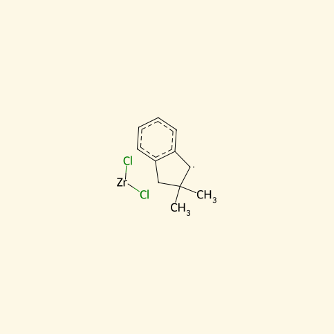 CC1(C)[CH]c2ccccc2C1.[Cl][Zr][Cl]